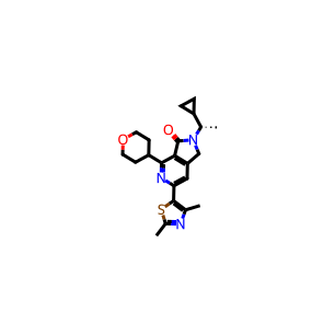 Cc1nc(C)c(-c2cc3c(c(C4CCOCC4)n2)C(=O)N([C@@H](C)C2CC2)C3)s1